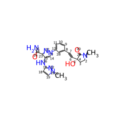 CN1CC[C@@](O)(C#Cc2cccc(-n3cc(Nc4ccn(C)n4)c(C(N)=O)n3)c2)C1=O